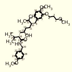 COCCCOc1cc(C[C@@H](CC[C@@H](O)C[C@H](C(=O)NCc2ccc(OC)cc2)C(C)C)C(C)C)ccc1OC